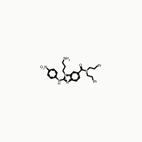 CC(C)CCN(CCC(C)C)C(=O)c1ccc2nc(Nc3ccc([N+](=O)[O-])cc3)n(CCCN)c2c1